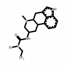 CCN(CC(F)(F)F)C(=O)NC1CC2c3cccc4[nH]cc(c34)CC2N(C)C1